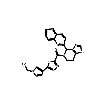 O=C(c1nnc(-c2cnn(CC(F)(F)F)c2)o1)N1CCc2[nH]cnc2C1c1ccc2ccccc2n1